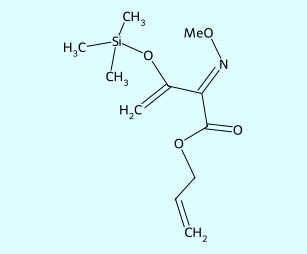 C=CCOC(=O)/C(=N/OC)C(=C)O[Si](C)(C)C